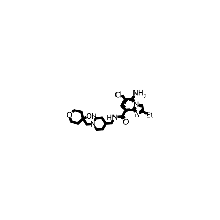 CCc1cn2c(N)c(Cl)cc(C(=O)NCC3CCN(CC4(O)CCOCC4)CC3)c2n1